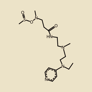 CCN(CCN(C)CCNC(=O)CCN(C)OS(C)=O)c1ccncc1